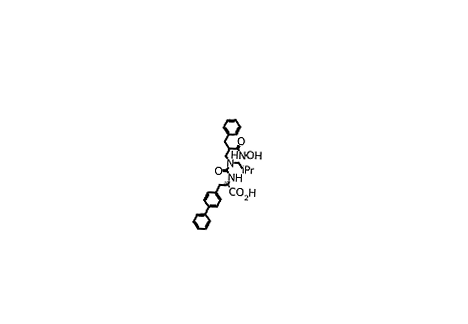 CC(C)CN(CC(Cc1ccccc1)C(=O)NO)C(=O)N[C@@H](Cc1ccc(-c2ccccc2)cc1)C(=O)O